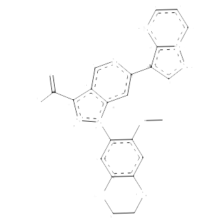 COc1cc2c(cc1-n1nc(C(=O)O)c3cnc(-c4cnn5cccnc45)cc31)OCCN2